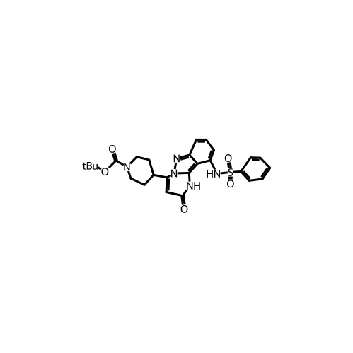 CC(C)(C)OC(=O)N1CCC(c2cc(=O)[nH]c3c4c(NS(=O)(=O)c5ccccc5)cccc4nn23)CC1